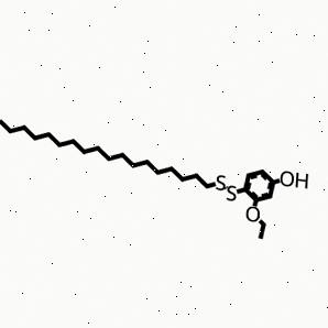 CCCCCCCCCCCCCCCCCCSSc1ccc(O)cc1OCC